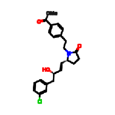 COC(=O)c1ccc(CCN2C(=O)CC[C@@H]2C=C[C@@H](O)Cc2cccc(Cl)c2)cc1